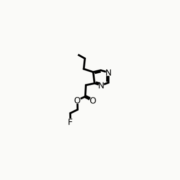 CCCc1cncnc1CC(=O)OCCF